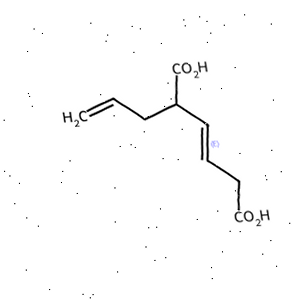 C=CCC(/C=C/CC(=O)O)C(=O)O